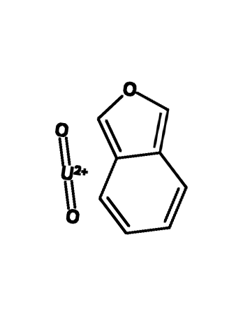 [O]=[U+2]=[O].c1ccc2cocc2c1